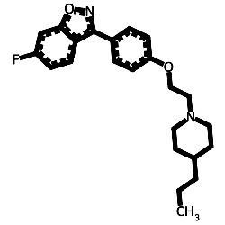 CCCC1CCN(CCOc2ccc(-c3noc4cc(F)ccc34)cc2)CC1